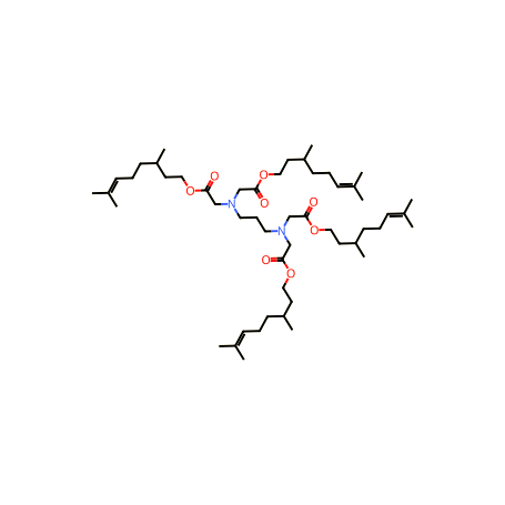 CC(C)=CCCC(C)CCOC(=O)CN(CCCN(CC(=O)OCCC(C)CCC=C(C)C)CC(=O)OCCC(C)CCC=C(C)C)CC(=O)OCCC(C)CCC=C(C)C